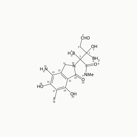 BC(O)(CC=O)C(B)(C(=O)NC)N1Cc2c(N)c(O)c(F)c(O)c2C1=O